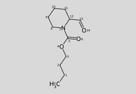 CCCCOC(=O)N1CCCCC1C=O